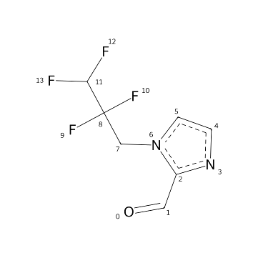 O=Cc1nccn1CC(F)(F)C(F)F